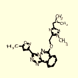 Cc1cc(-c2nnc3c4ccccc4c(OCc4nc(CN(C)C)nn4C)nn23)no1